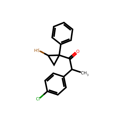 CC(C(=O)C1(c2ccccc2)CC1S)c1ccc(Cl)cc1